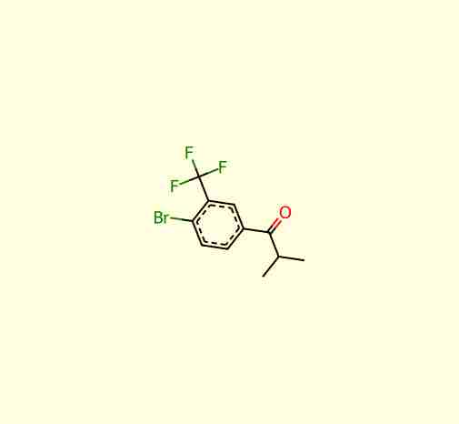 CC(C)C(=O)c1ccc(Br)c(C(F)(F)F)c1